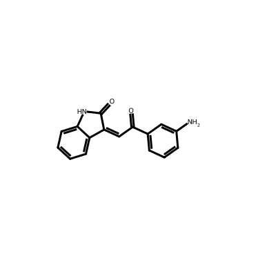 Nc1cccc(C(=O)C=C2C(=O)Nc3ccccc32)c1